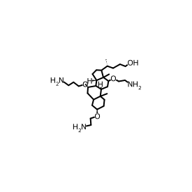 C[C@H](CCCO)C1CC[C@H]2C3[C@H](OCCCN)CC4C[C@H](OCCN)CCC4(C)[C@H]3CC(OCCN)C12C